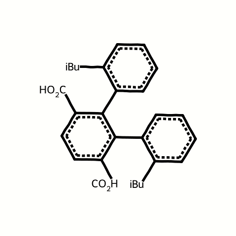 CCC(C)c1ccccc1-c1c(C(=O)O)ccc(C(=O)O)c1-c1ccccc1C(C)CC